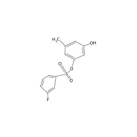 Cc1cc(O)cc(OS(=O)(=O)c2cccc(F)c2)c1